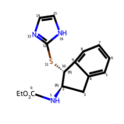 CCOC(=O)N[C@@H]1Cc2ccccc2[C@H]1Sc1ncc[nH]1